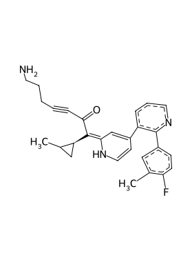 Cc1cc(-c2ncccc2C2=C/C(=C(\C(=O)C#CCCCN)[C@H]3CC3C)NC=C2)ccc1F